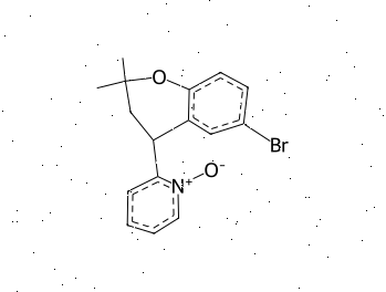 CC1(C)CC(c2cccc[n+]2[O-])c2cc(Br)ccc2O1